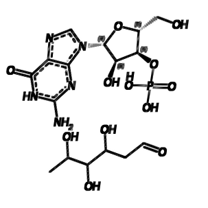 CC(O)C(O)C(O)CC=O.Nc1nc2c(ncn2[C@@H]2O[C@H](CO)[C@@H](OP(=O)(O)O)[C@H]2O)c(=O)[nH]1